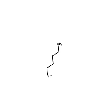 CCC[CH]CCCCCC